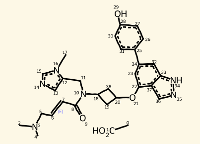 CC(=O)O.CN(C)C/C=C/C(=O)N(Cc1cncn1C)C1CC(Oc2cc(-c3ccc(O)cc3)cc3[nH]ncc23)C1